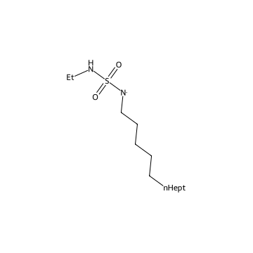 CCCCCCCCCCCC[N]S(=O)(=O)NCC